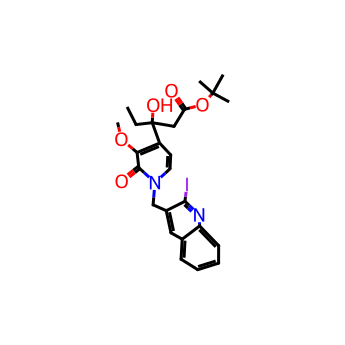 CCC(O)(CC(=O)OC(C)(C)C)c1ccn(Cc2cc3ccccc3nc2I)c(=O)c1OC